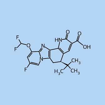 CC(C)(C)[C@H]1Cc2c(nc3c(OC(F)F)cc(F)cn23)-c2[nH]c(=O)c(C(=O)O)cc21